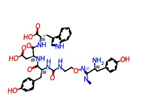 C=N/C(=N\OCCNC(=O)N[C@@H](Cc1ccc(O)cc1)C(=O)N[C@@H](CC(=O)O)C(=O)N[C@@H](Cc1c[nH]c2ccccc12)C(=O)O)[C@@H](N)Cc1ccc(O)cc1